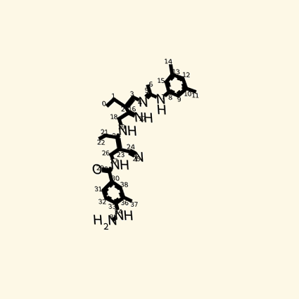 CC/C(=C/N=C(\C)Nc1cc(C)cc(C)c1)C(=N)CN/C(CC)=C(\C#N)CNC(=O)c1ccc(NN)c(C)c1